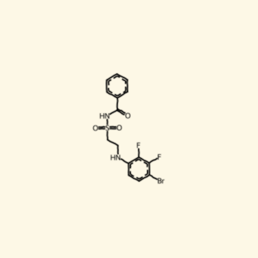 O=C(NS(=O)(=O)CCNc1ccc(Br)c(F)c1F)c1ccccc1